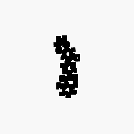 O=C(Nc1cnc(-c2cc3c(cc2Cl)OC(F)(F)CO3)cn1)c1c(F)cccc1F